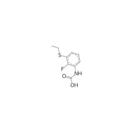 CCSc1cccc(NC(=O)O)c1F